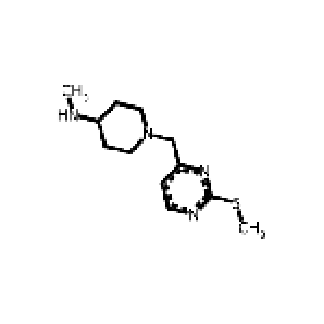 CNC1CCN(Cc2ccnc(SC)n2)CC1